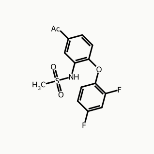 CC(=O)c1ccc(Oc2ccc(F)cc2F)c(NS(C)(=O)=O)c1